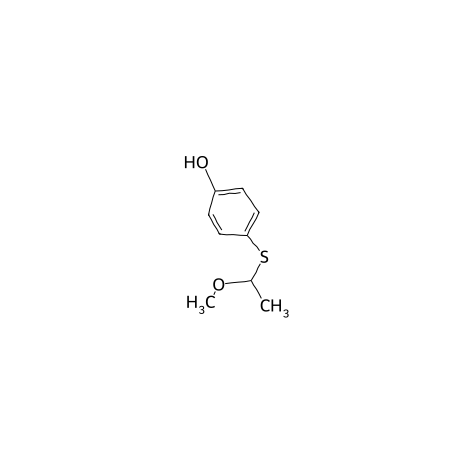 COC(C)Sc1ccc(O)cc1